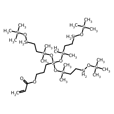 C=CC(=O)OCCC[Si](O[Si](C)(C)CC[SiH2]O[Si](C)(C)C)(O[Si](C)(C)CC[SiH2]O[Si](C)(C)C)O[Si](C)(C)CC[SiH2]O[Si](C)(C)C